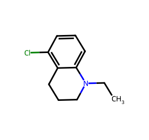 CCN1CCCc2c(Cl)cccc21